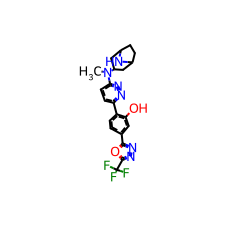 CN(c1ccc(-c2ccc(-c3nnc(C(F)(F)F)o3)cc2O)nn1)C1CC2CCC(C1)N2